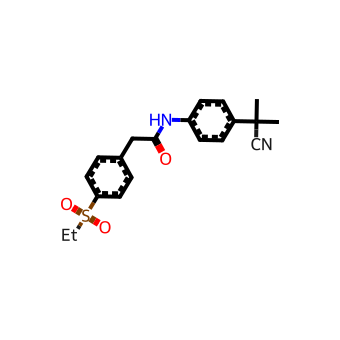 CCS(=O)(=O)c1ccc(CC(=O)Nc2ccc(C(C)(C)C#N)cc2)cc1